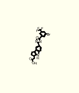 O=C(O)CC1CCc2c1[nH]c1ccc(-c3noc(-c4cc(Br)cc(C(F)(F)F)c4)n3)cc21